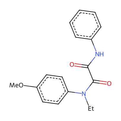 CCN(C(=O)C(=O)Nc1ccccc1)c1ccc(OC)cc1